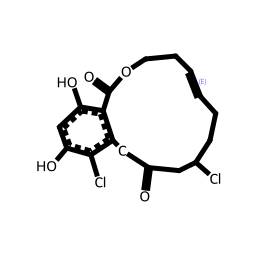 O=C1Cc2c(Cl)c(O)cc(O)c2C(=O)OCC/C=C/CCC(Cl)C1